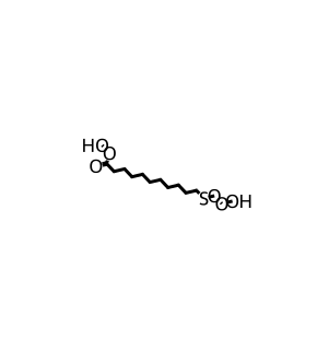 O=C(CCCCCCCCCCSOOO)OO